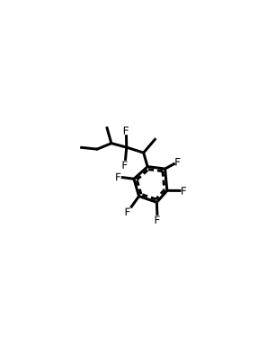 CCC(C)C(F)(F)C(C)c1c(F)c(F)c(F)c(F)c1F